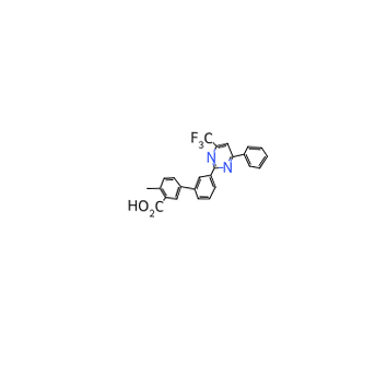 Cc1ccc(-c2cccc(-c3nc(-c4ccccc4)cc(C(F)(F)F)n3)c2)cc1C(=O)O